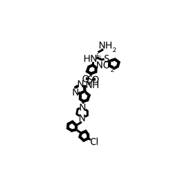 NCC[C@H](CSc1ccccc1)Nc1ccc(S(=O)(=O)Nc2ncnc3cc(N4CCN(Cc5ccccc5-c5ccc(Cl)cc5)CC4)ccc23)cc1[N+](=O)[O-]